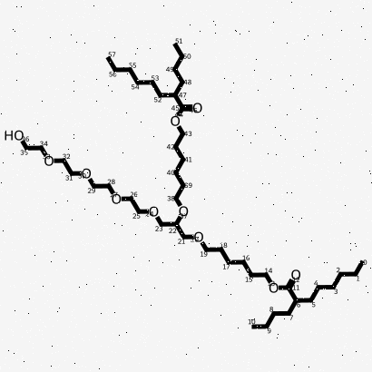 CCCCCCC(CCCC)C(=O)OCCCCCCOCC(COCCOCCOCCOCCO)OCCCCCCOC(=O)C(CCCC)CCCCCC